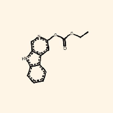 CCOC(=O)Oc1cc2c(cn1)[nH]c1ccccc12